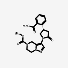 COC(=O)c1ccccc1[C@@H]1CC(=O)N(c2cnn3c2CN(C(=O)OC(C)(C)C)CC3)C1